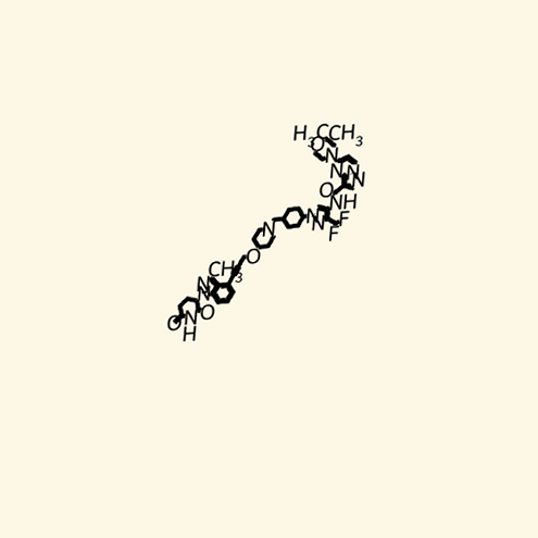 Cc1nn(C2CCC(=O)NC2=O)c2cccc(C#CCOC3CCN(CC4CCC(n5cc(NC(=O)c6cnn7ccc(N8CCOC(C)(C)C8)nc67)c(C(F)F)n5)CC4)CC3)c12